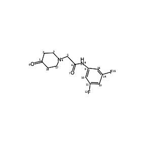 O=C1CCN(CC(=O)Nc2cc(F)cc(F)c2)CC1